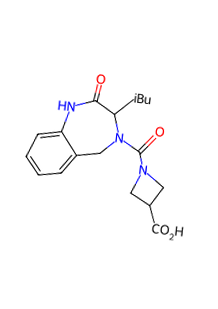 CCC(C)C1C(=O)Nc2ccccc2CN1C(=O)N1CC(C(=O)O)C1